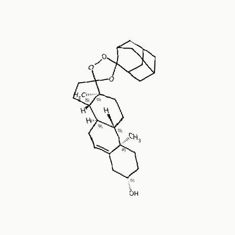 C[C@]12CC[C@H](O)CC1=CC[C@@H]1[C@@H]2CC[C@@]2(C)[C@H]1CCC21OOC2(O1)C1CC3CC(C1)CC2C3